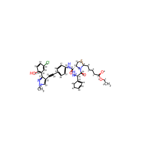 CCOC(=O)CCCCC1SC[C@@H](C(=O)Nc2ccc(C#Cc3cn(C)nc3-c3cc(Cl)ccc3O)cc2)N1C(=O)[C@H](N)C1=CC=CCC1